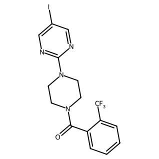 O=C(c1ccccc1C(F)(F)F)N1CCN(c2ncc(I)cn2)CC1